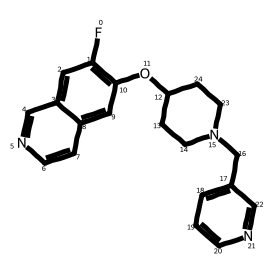 Fc1cc2cnccc2cc1OC1CCN(Cc2cccnc2)CC1